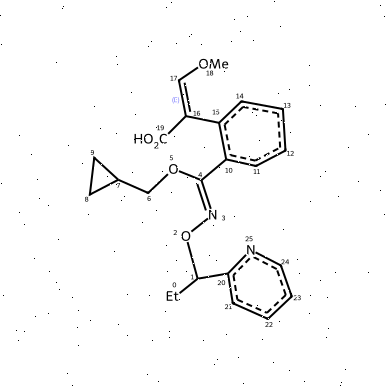 CCC(ON=C(OCC1CC1)c1ccccc1/C(=C\OC)C(=O)O)c1ccccn1